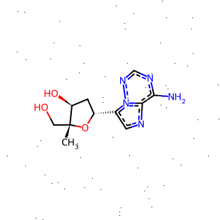 C[C@]1(CO)O[C@@H](c2cnc3c(N)ncnn23)C[C@@H]1O